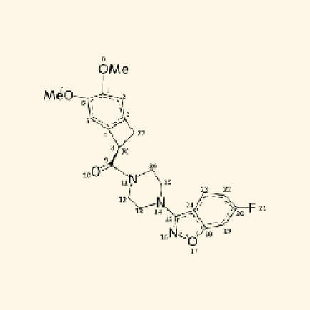 COc1cc2c(cc1OC)[C@H](C(=O)N1CCN(c3noc4cc(F)ccc34)CC1)C2